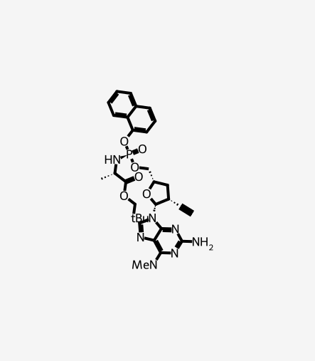 C#C[C@H]1C[C@@H](CO[P@](=O)(N[C@@H](C)C(=O)OCC(C)(C)C)Oc2cccc3ccccc23)O[C@H]1n1cnc2c(NC)nc(N)nc21